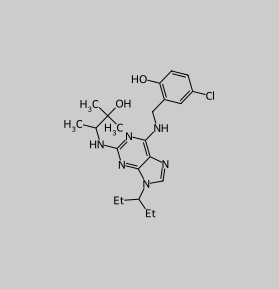 CCC(CC)n1cnc2c(NCc3cc(Cl)ccc3O)nc(NC(C)C(C)(C)O)nc21